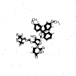 COc1ccc(C(OC[C@@H]2O[C@H](n3ccc(=O)[nH]c3=O)C(OCOCC(C(F)(F)F)C(F)(F)F)C2O)(c2ccccc2)c2ccc(OC)cc2)cc1